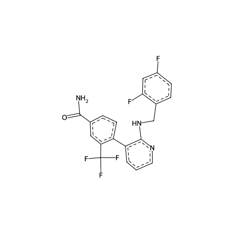 NC(=O)c1ccc(-c2cccnc2NCc2ccc(F)cc2F)c(C(F)(F)F)c1